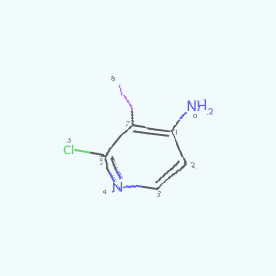 Nc1ccnc(Cl)c1I